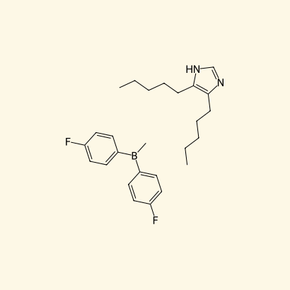 CB(c1ccc(F)cc1)c1ccc(F)cc1.CCCCCc1nc[nH]c1CCCCC